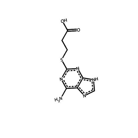 Nc1nc(SCCC(=O)O)nc2[nH]cnc12